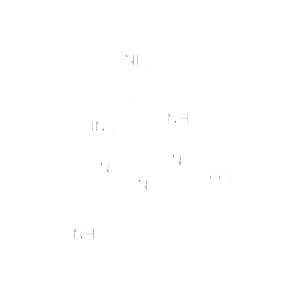 N=[C]N(N=NO)NC(=N)N